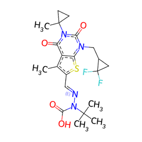 Cc1c(/C=N/N(C(=O)O)C(C)(C)C)sc2c1c(=O)n(C1(C)CC1)c(=O)n2CC1CC1(F)F